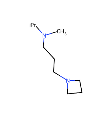 CC(C)N(C)CCCN1CCC1